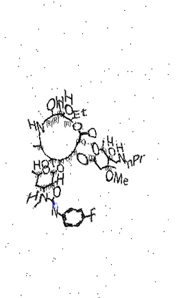 CCCNC[C@]1(O)[C@H](C)O[C@@H](O[C@H]2[C@H](C)[C@@H](O[C@@H]3O[C@H](C)C[C@H]4[C@H]3O/C(=N\c3ccc(F)cc3)N4C)[C@](C)(O)C[C@@H](C)CN[C@H](C)[C@@H](O)[C@](C)(O)[C@@H](CC)OC(=O)[C@@H]2C)C[C@@]1(C)OC